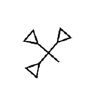 [CH2]C(C1CC1)(C1CC1)C1CC1